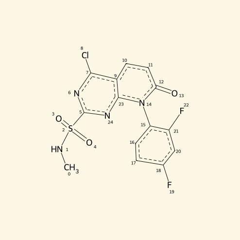 CNS(=O)(=O)c1nc(Cl)c2ccc(=O)n(-c3ccc(F)cc3F)c2n1